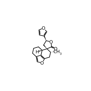 C[C@@H]1Cc2occ3c2[C@H](CCC3)[C@@]12C[C@@H](c1ccoc1)OC2=O